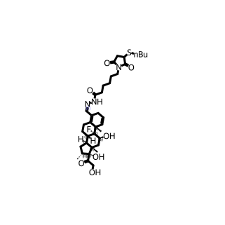 CCCCSC1CC(=O)N(CCCCCC(=O)N/N=C\C2=C3CC[C@H]4[C@@H]5C[C@@H](C)[C@](O)(C(=O)CO)[C@@]5(C)C[C@H](O)[C@]4(F)[C@@]3(C)C=CC2)C1=O